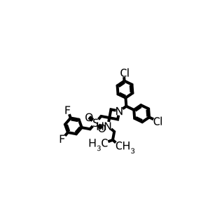 CC(C)CNC1(CS(=O)(=O)Cc2cc(F)cc(F)c2)CN(C(c2ccc(Cl)cc2)c2ccc(Cl)cc2)C1